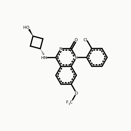 O=c1nc(N[C@H]2C[C@H](O)C2)c2ccc(OC(F)(F)F)cc2n1-c1ccccc1Cl